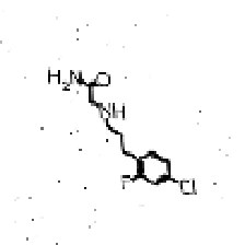 NC(=O)CNCCCc1ccc(Cl)cc1F